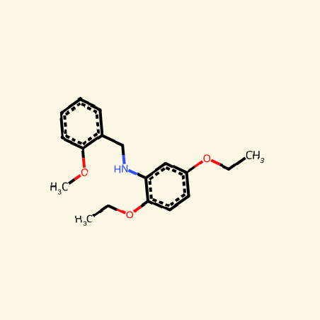 CCOc1ccc(OCC)c(NCc2ccccc2OC)c1